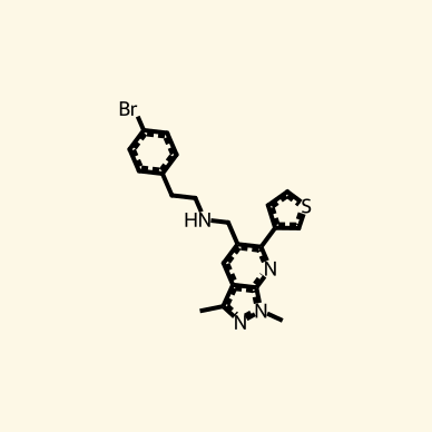 Cc1nn(C)c2nc(-c3ccsc3)c(CNCCc3ccc(Br)cc3)cc12